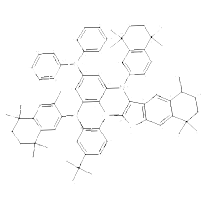 Cc1cc2c(cc1N1c3cc(C(C)(C)C)ccc3B3c4oc5cc6c(cc5c4N(c4ccc5c(c4)C(C)(C)CCC5(C)C)c4cc(N(c5ccccc5)c5ccccc5)cc1c43)C(C)CCC6(C)C)C(C)(C)CCC2(C)C